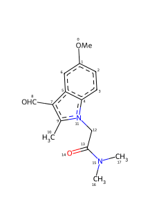 COc1ccc2c(c1)c(C=O)c(C)n2CC(=O)N(C)C